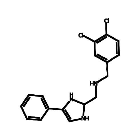 Clc1ccc(CNCC2NC=C(c3ccccc3)N2)cc1Cl